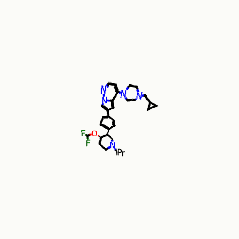 CC(C)N1CC[C@H](OC(F)F)[C@@H](c2ccc(-c3cc4c(N5CCN(CC6CC6)CC5)ccnn4c3)cc2)C1